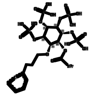 CCCC(=O)O[C@@H]1[C@H](OCCCc2ccccc2)[C@@H](OP(=O)(O)O)[C@H](OP(=O)(O)O)[C@@H](OP(=O)(O)O)[C@@H]1OP(=O)(O)O